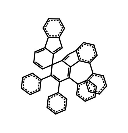 C1=CC2(C3=Cc4ccccc4C3=C1)C1=Cc3cccc(-c4ccccc4)c3C1=C(c1ccccc1)C(c1ccccc1)=C2c1ccccc1